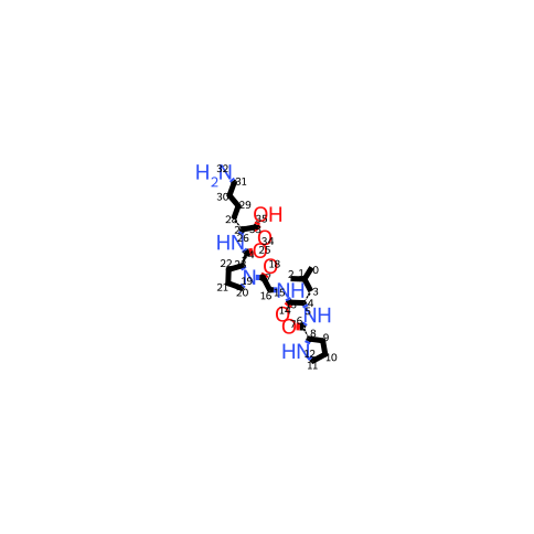 CC(C)C[C@H](NC(=O)[C@@H]1CCCN1)C(=O)NCC(=O)N1CCC[C@H]1C(=O)N[C@H](CCCCN)C(=O)O